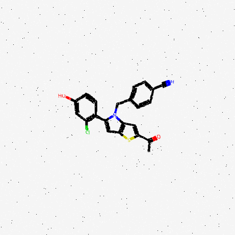 CC(=O)c1cc2c(cc(-c3ccc(O)cc3Cl)n2Cc2ccc(C#N)cc2)s1